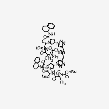 C[C@@H](C(=O)N[C@H](C(=O)N1C[C@@H](n2cc(CCCc3cn([C@H]4C[C@@H](C(=O)N[C@@H]5CCCc6ccccc65)N(C(=O)[C@@H](NC(=O)[C@H](C)N(C)C(=O)OC(C)(C)C)C(C)(C)C)C4)nn3)nn2)C[C@H]1C(=O)N[C@@H]1CCCc2ccccc21)C(C)(C)C)N(C)C(=O)OC(C)(C)C